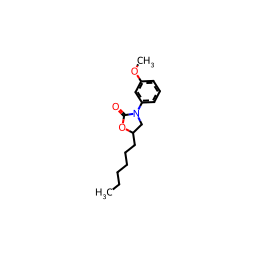 CCCCCCC1CN(c2cccc(OC)c2)C(=O)O1